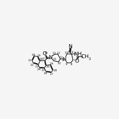 CC(=O)NC1(C#N)CCCN(C2CCN(C(=O)c3c4ccccc4cc4ccccc34)CC2)C1